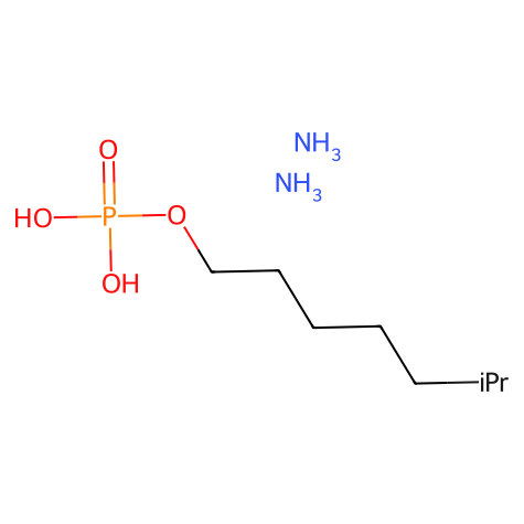 CC(C)CCCCCOP(=O)(O)O.N.N